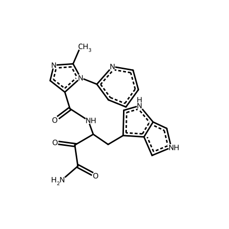 Cc1ncc(C(=O)NC(Cc2c[nH]c3c[nH]cc23)C(=O)C(N)=O)n1-c1ccccn1